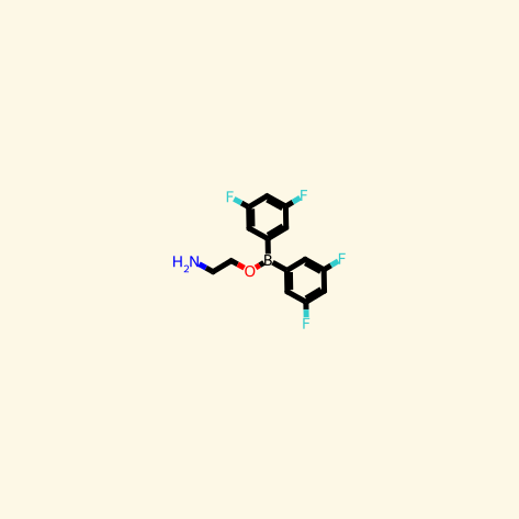 NCCOB(c1cc(F)cc(F)c1)c1cc(F)cc(F)c1